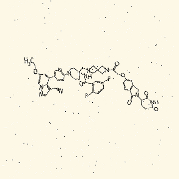 CCOc1cc(-c2ccc(N3CCC(CN4CC5(C4)CN(C(=O)COc4ccc6c(c4)CN(C4CCC(=O)NC4=O)C6=O)C5)(NC(=O)c4cc(F)ccc4F)CC3)nc2)c2c(C#N)cnn2c1